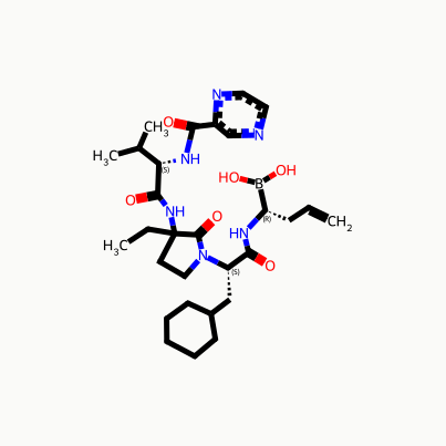 C=CC[C@H](NC(=O)[C@H](CC1CCCCC1)N1CCC(CC)(NC(=O)[C@@H](NC(=O)c2cnccn2)C(C)C)C1=O)B(O)O